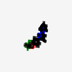 Cc1cc(N2CC3CC(C2)N3)nn1-c1ccc(OC(F)(F)F)cc1